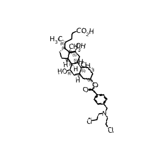 C[C@H](CCC(=O)O)[C@H]1CC[C@H]2[C@@H]3[C@H](O)C[C@@H]4C[C@H](OC(=O)c5ccc(CN(CCCl)CCCl)cc5)CC[C@]4(C)[C@H]3C[C@H](O)[C@]12C